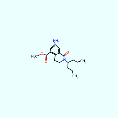 CCCC(CCC)N1CCc2c(C(=O)OC)cc(N)cc2C1=O